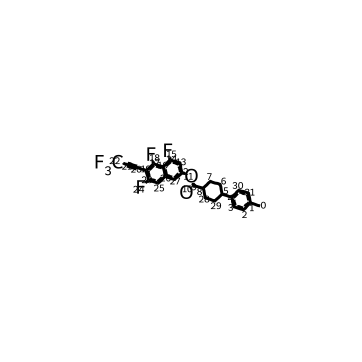 Cc1ccc(C2CCC(C(=O)Oc3cc(F)c4c(F)c(C#CC(F)(F)F)c(F)cc4c3)CC2)cc1